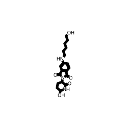 O=C1NC(O)CCC1N1C(=O)c2ccc(NCCCCCCO)cc2C1=O